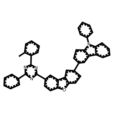 Cc1ccccc1-c1nc(-c2ccccc2)nc(-c2ccc3oc4ccc(-c5ccc6c(c5)c5ccccc5n6-c5ccccc5)cc4c3c2)n1